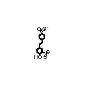 O=[N+]([O-])c1ccc(/C=C/c2ccc(O)c([N+](=O)[O-])c2)cc1